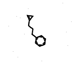 C1=C(CCCc2ccccc2)C1